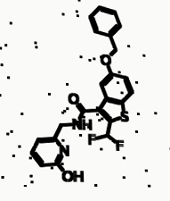 O=C(NCc1cccc(O)n1)c1c(C(F)F)sc2ccc(OCc3ccccc3)cc12